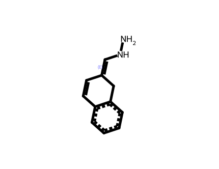 NN/C=C1/C=Cc2ccccc2C1